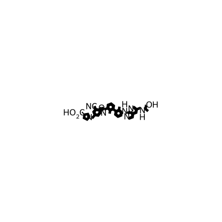 Cc1c(Nc2nccc3cc(CNC(C)CO)cnc23)cccc1-c1cccc(-c2nc3cc(CN4CC[C@@H](C(=O)O)C4)cc(C#N)c3o2)c1C